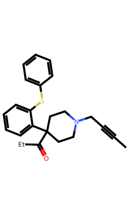 CC#CCN1CCC(C(=O)CC)(c2ccccc2Sc2ccccc2)CC1